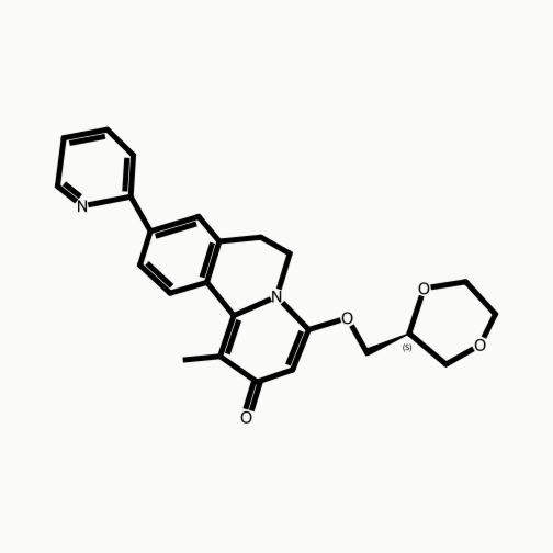 Cc1c2n(c(OC[C@@H]3COCCO3)cc1=O)CCc1cc(-c3ccccn3)ccc1-2